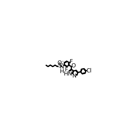 CCCCCC[S+]([O-])Nc1ccc(F)c(C(=O)c2c[nH]c3ncc(-c4ccc(Cl)cc4)cc23)c1F